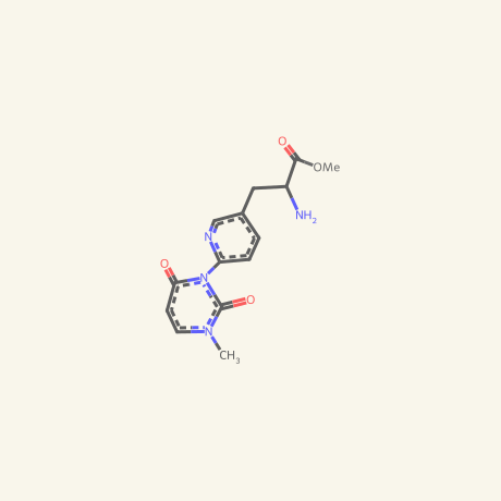 COC(=O)C(N)Cc1ccc(-n2c(=O)ccn(C)c2=O)nc1